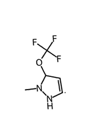 CN1N[C]=CC1OC(F)(F)F